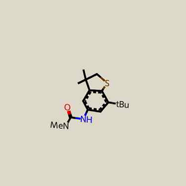 CNC(=O)Nc1cc(C(C)(C)C)c2c(c1)C(C)(C)CS2